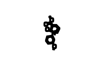 COC(=O)c1cccn([C@H]2CCC[C@H](OC)C2)c1=O